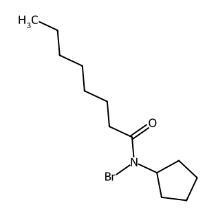 CCCCCCCC(=O)N(Br)C1CCCC1